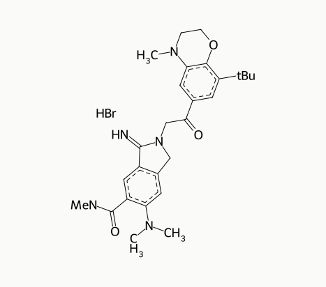 Br.CNC(=O)c1cc2c(cc1N(C)C)CN(CC(=O)c1cc3c(c(C(C)(C)C)c1)OCCN3C)C2=N